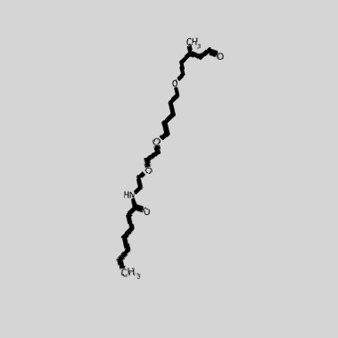 CCCCCCC(=O)NCCOCCOCCCCCOCCC(C)CC=O